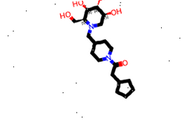 O=C(CC1CCCC1)N1CCC(CN2C[C@H](O)[C@@H](O)[C@H](O)[C@@H]2CO)CC1